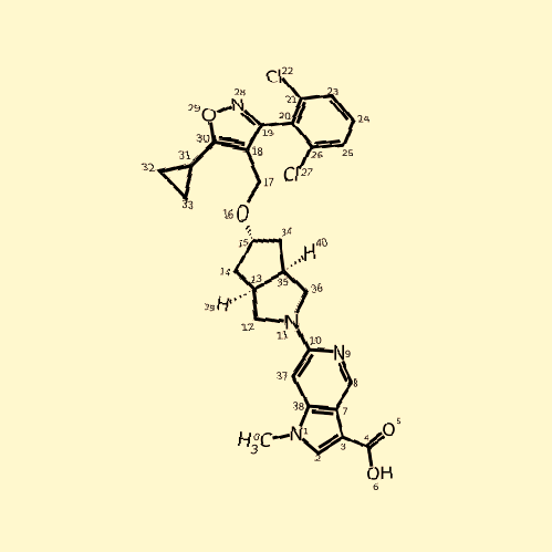 Cn1cc(C(=O)O)c2cnc(N3C[C@H]4C[C@H](OCc5c(-c6c(Cl)cccc6Cl)noc5C5CC5)C[C@H]4C3)cc21